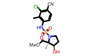 COC(=O)[C@]1(C)[C@H](O)CCN1S(=O)(=O)Nc1ccc(C#N)c(Cl)c1C